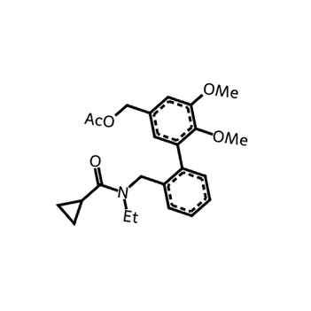 CCN(Cc1ccccc1-c1cc(COC(C)=O)cc(OC)c1OC)C(=O)C1CC1